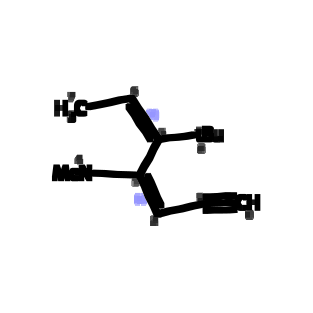 C#C/C=C(NC)\C(=C/C)C(C)(C)C